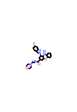 O=C(NCCN1CCOCC1)c1cc(NCc2ccc(F)cc2)c2c(c1)Sc1ccccc1N2